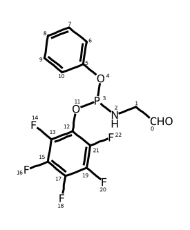 O=CCNP(Oc1ccccc1)Oc1c(F)c(F)c(F)c(F)c1F